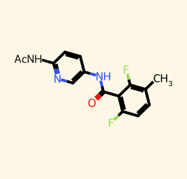 CC(=O)Nc1ccc(NC(=O)c2c(F)ccc(C)c2F)cn1